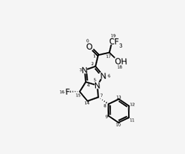 O=C(c1nc2n(n1)[C@H](c1ccccc1)C[C@@H]2F)C(O)C(F)(F)F